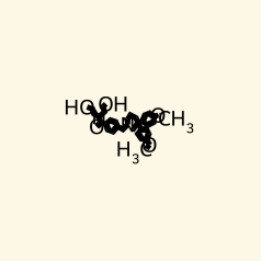 COc1ccc(C2(c3ccc(OC)cc3)CCCN(Cc3ccc(C(=O)N(CCO)CCO)cc3)C2)cc1